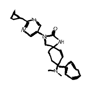 CN(C)C1(c2ccccc2)CCC2(CC1)CN(c1cnc(C3CC3)nc1)C(=O)N2